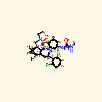 CCN(C[C@@]12CC[C@@H](c3cc(-c4c(F)cccc4F)nnc31)C2(C)C)S(=O)(=O)c1ccc(NC(=O)NC)cc1